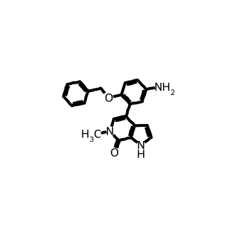 Cn1cc(-c2cc(N)ccc2OCc2ccccc2)c2cc[nH]c2c1=O